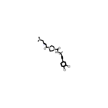 C[C@@H](C#Cc1ccc(Cl)c(Cl)c1)NC(=O)N1CCN(C(=O)/C=C/CN(C)C)CC1